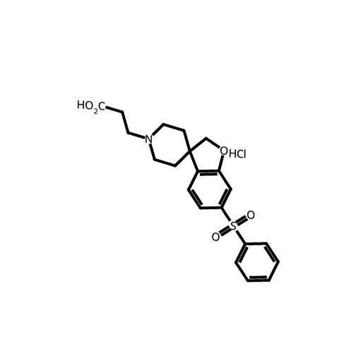 Cl.O=C(O)CCN1CCC2(CC1)COc1cc(S(=O)(=O)c3ccccc3)ccc12